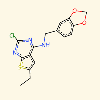 CCc1cc2c(NCc3ccc4c(c3)OCO4)nc(Cl)nc2s1